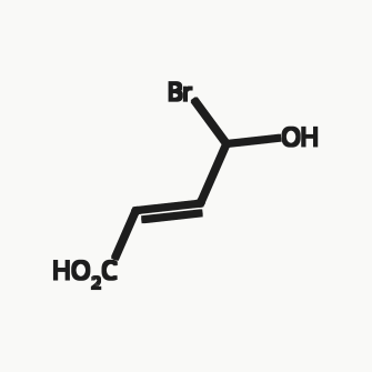 O=C(O)C=CC(O)Br